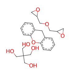 C(OCC1CO1)C1CO1.OCC(CO)(CO)CO.c1ccc2c(c1)Cc1ccccc1O2